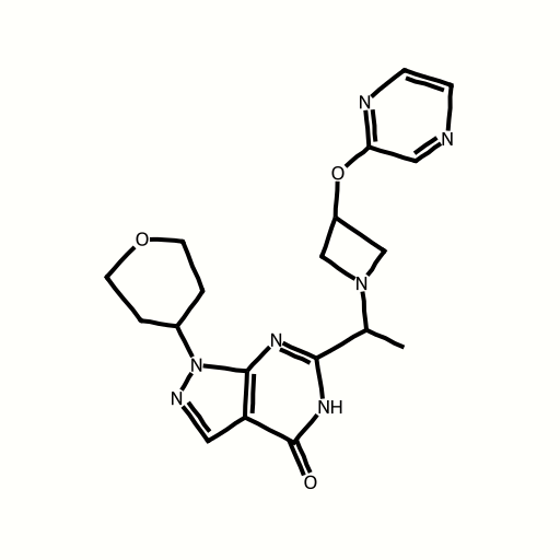 CC(c1nc2c(cnn2C2CCOCC2)c(=O)[nH]1)N1CC(Oc2cnccn2)C1